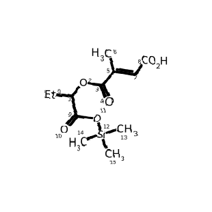 CCC(OC(=O)/C(C)=C/C(=O)O)C(=O)O[Si](C)(C)C